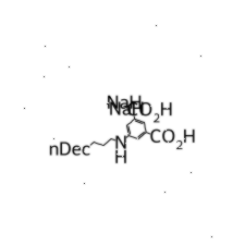 CCCCCCCCCCCCCNc1cc(C(=O)O)cc(C(=O)O)c1.[NaH].[NaH]